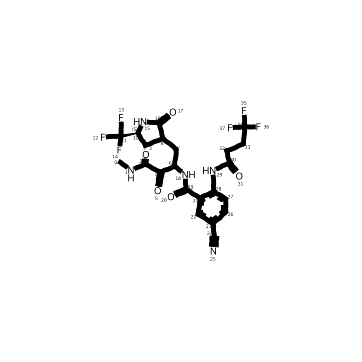 CNC(=O)C(=O)C(CC1C[C@@H](C(F)(F)F)NC1=O)NC(=O)c1cc(C#N)ccc1NC(=O)CCC(F)(F)F